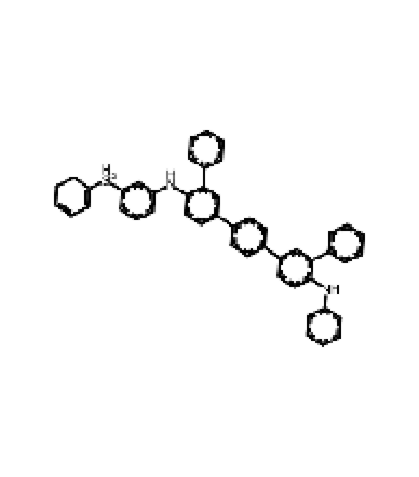 C1=CCCC([SiH2]c2cccc(Nc3ccc(-c4ccc(-c5ccc(Nc6ccccc6)c(-c6ccccc6)c5)cc4)cc3-c3ccccc3)c2)=C1